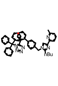 CCCCc1nc(-c2cccc(C)n2)cn1Cc1ccc(-c2ccccc2-c2nnnn2C(c2ccccc2)(c2ccccc2)c2ccccc2)cc1